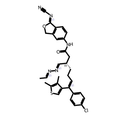 C/C=N/N=C/[C@@H](CC/C=C(/c1ccc(Cl)cc1)c1csc(C)c1C)CC(=O)Nc1ccc2c(c1)CO/C2=N\C#N